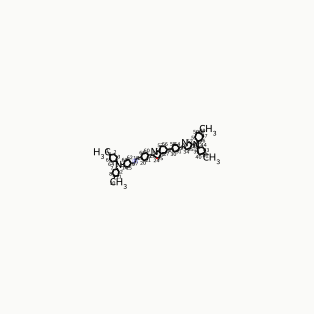 Cc1ccc(N(c2ccc(C)cc2)c2ccc(/C=C/c3ccc(-c4ccc5cc(-c6ccc(-c7ccc(N(c8ccc(C)cc8)c8ccc(C)cc8)cn7)cc6)ccc5n4)cc3)cc2)cc1